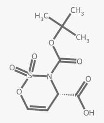 CC(C)(C)OC(=O)N1[C@H](C(=O)O)C=COS1(=O)=O